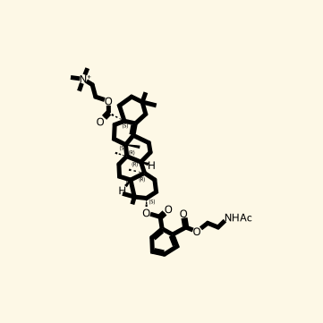 CC(=O)NCCOC(=O)c1ccccc1C(=O)O[C@H]1CC[C@]2(C)[C@H]3CCC4=C5CC(C)(C)CC[C@]5(C(=O)OCC[N+](C)(C)C)CC[C@@]4(C)[C@]3(C)CC[C@H]2C1(C)C